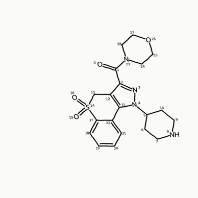 O=C(c1nn(C2CCNCC2)c2c1CS(=O)(=O)c1ccccc1-2)N1CCOCC1